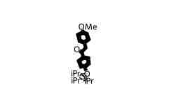 COc1ccc(CC(=O)c2ccc(O[Si](C(C)C)(C(C)C)C(C)C)cc2)cc1